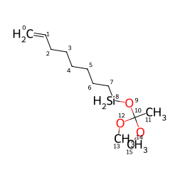 C=CCCCCCC[SiH2]OC(C)(OC)OC